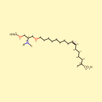 CCCCCCOCC(COCCCCCCCC/C=C\CCCCC(C)C(=O)O)N(C)C